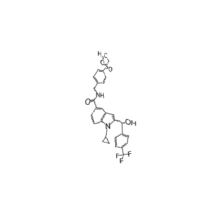 CCS(=O)(=O)c1ccc(CNC(=O)c2ccc3c(c2)cc(C(O)c2ccc(C(F)(F)F)cc2)n3C2CC2)cc1